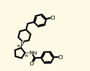 O=C(N[C@@H]1CCC[C@H]1N1CCC(Cc2ccc(Cl)cc2)CC1)c1ccc(Cl)cc1